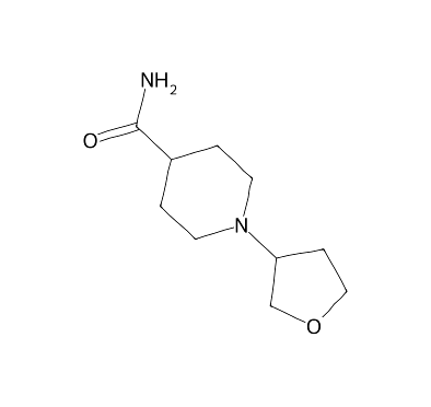 NC(=O)C1CCN(C2CCOC2)CC1